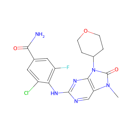 Cn1c(=O)n(C2CCOCC2)c2nc(Nc3c(F)cc(C(N)=O)cc3Cl)ncc21